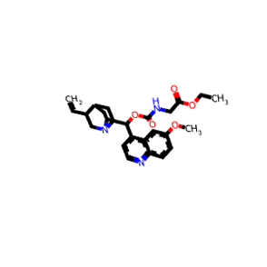 C=CC1CN2CCC1CC2C(OC(=O)NCC(=O)OCC)c1ccnc2ccc(OC)cc12